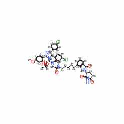 COc1ccc(C2=N[C@@H](c3ccc(Cl)cc3)[C@@H](c3ccc(Cl)cc3)N2C(O)N2CCN(CCCCCc3cccc4c3CN(C3CCC(=O)NC3=O)C4=O)C(=O)C2)c(OC(C)C)c1